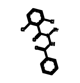 CC(C)N(NC(=O)c1ccccc1)C(=O)c1c(Cl)cccc1Cl